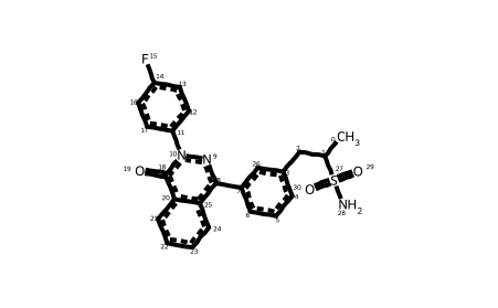 CC(Cc1cccc(-c2nn(-c3ccc(F)cc3)c(=O)c3ccccc23)c1)S(N)(=O)=O